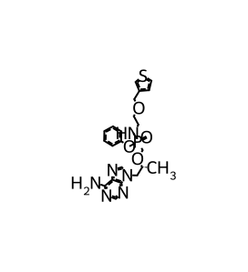 C[C@H](Cn1cnc2c(N)ncnc21)OCP(=O)(NCCOCc1ccsc1)Oc1ccccc1